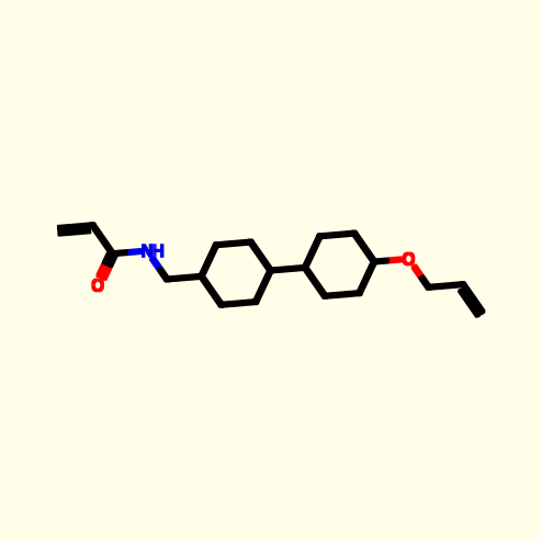 C=CCOC1CCC(C2CCC(CNC(=O)C=C)CC2)CC1